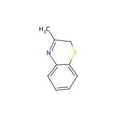 CC1=Nc2ccccc2SC1